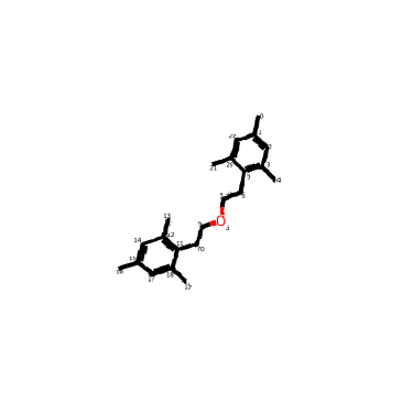 Cc1cc(C)c(CCOCCc2c(C)cc(C)cc2C)c(C)c1